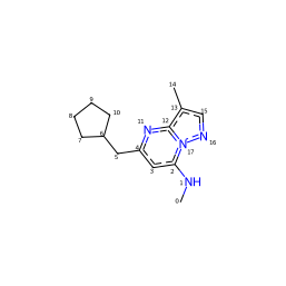 CNc1cc(CC2CCCC2)nc2c(C)cnn12